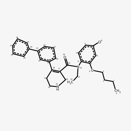 CCCCOc1cc(Cl)ccc1N(CC)C(=O)C1=C(c2cccc(-c3ccccc3)c2)CCNC1